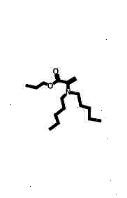 C=C(C(=O)OCCC)N(CCCCC)CCCCC